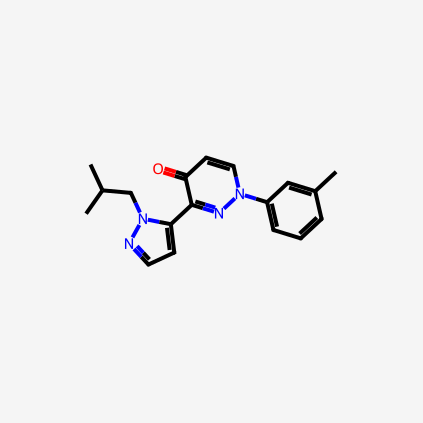 Cc1cccc(-n2ccc(=O)c(-c3ccnn3CC(C)C)n2)c1